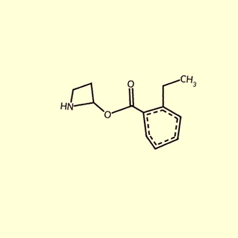 CCc1ccccc1C(=O)OC1CCN1